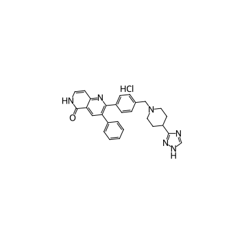 Cl.O=c1[nH]ccc2nc(-c3ccc(CN4CCC(c5nc[nH]n5)CC4)cc3)c(-c3ccccc3)cc12